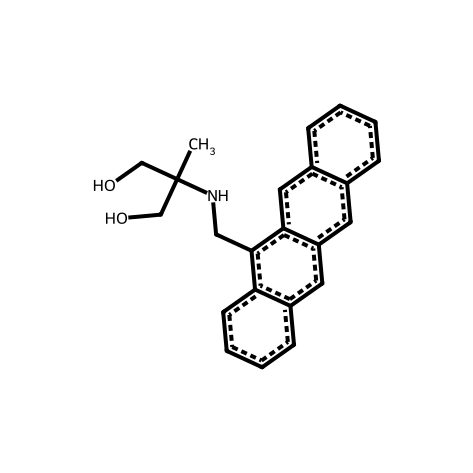 CC(CO)(CO)NCc1c2ccccc2cc2cc3ccccc3cc12